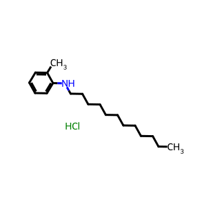 CCCCCCCCCCCCNc1ccccc1C.Cl